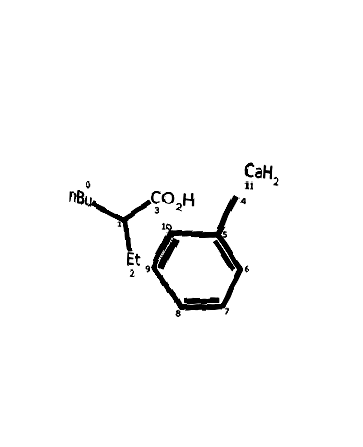 CCCCC(CC)C(=O)O.Cc1ccccc1.[CaH2]